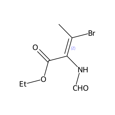 CCOC(=O)/C(NC=O)=C(\C)Br